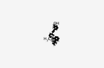 C[C@@H]1CC[C@@H](C#Cc2cccc(CO)n2)CN1C(=O)c1ccccc1-n1nccn1